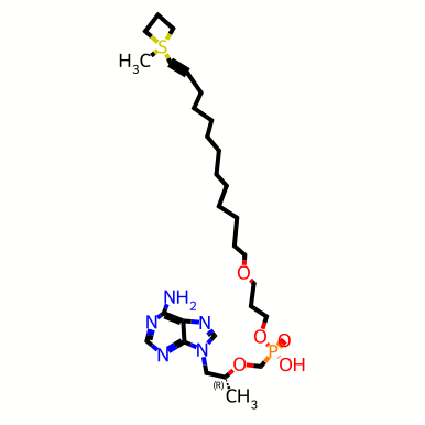 C[C@H](Cn1cnc2c(N)ncnc21)OCP(=O)(O)OCCCOCCCCCCCCCCCC#CS1(C)CCC1